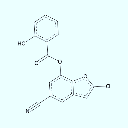 N#Cc1cc(OC(=O)c2ccccc2O)c2oc(Cl)cc2c1